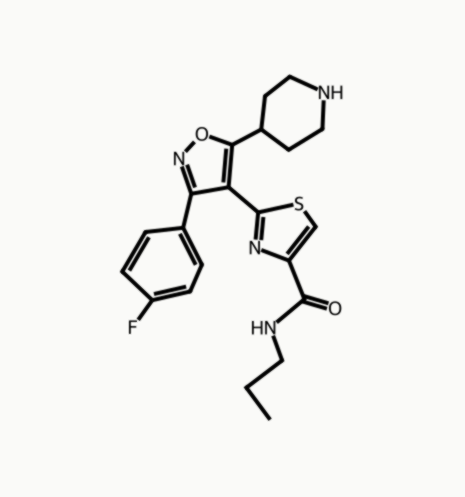 CCCNC(=O)c1csc(-c2c(-c3ccc(F)cc3)noc2C2CCNCC2)n1